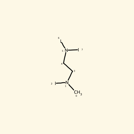 CN(I)CCN(I)I